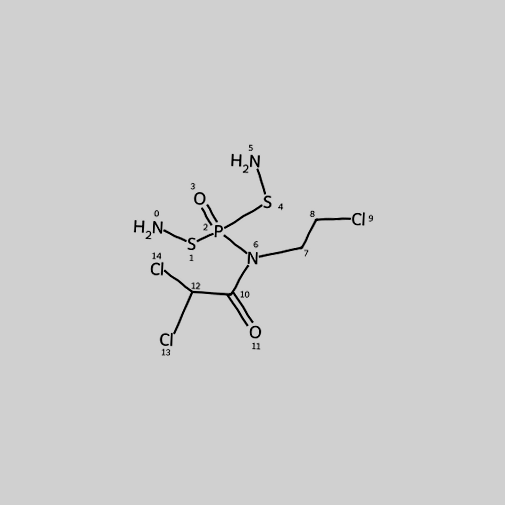 NSP(=O)(SN)N(CCCl)C(=O)C(Cl)Cl